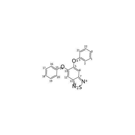 c1ccc(Oc2cc3nsnc3cc2Oc2ccccc2)cc1